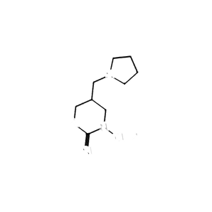 N=C1SCC(CN2CCCC2)CN1C=O